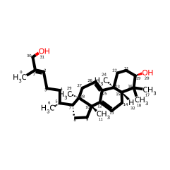 C/C(=C\CC[C@@H](C)[C@H]1CC[C@@]2(C)C3=CC[C@H]4C(C)(C)[C@H](O)CC[C@]4(C)C3=CC[C@]12C)CO